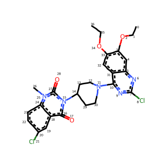 CCOc1cc2nc(Cl)nc(N3CCC(n4c(=O)c5cc(Cl)ccc5n(C)c4=O)CC3)c2cc1OCC